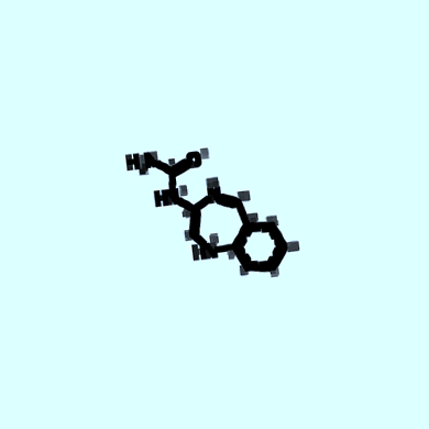 NC(=O)NC1=CNc2ccccc2C=N1